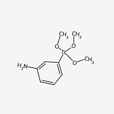 C[O][Ti]([O]C)([O]C)[c]1cccc(N)c1